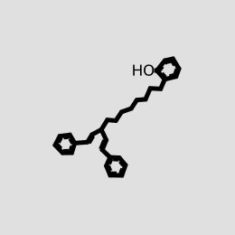 Oc1ccccc1CCCCCCCCC(C=Cc1ccccc1)C=Cc1ccccc1